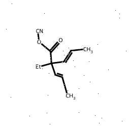 CC=CC(C=CC)(CC)C(=O)OC#N